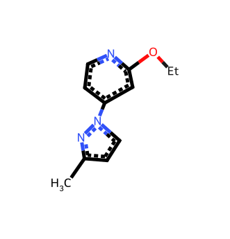 CCOc1cc(-n2ccc(C)n2)ccn1